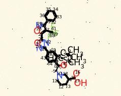 CC(C)(C)[Si](C)(C)O[C@@H](CN1CCCC(C(=O)O)C1)c1ccc(-c2noc(-c3onc(-c4ccccc4)c3C(F)(F)F)n2)cc1